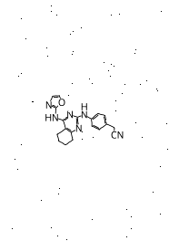 N#CCc1ccc(Nc2nc3c(c(Nc4ncco4)n2)CCCC3)cc1